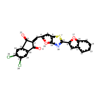 O=C1C(=Cc2cc3sc(-c4cc5ccccc5o4)nc3o2)C(=O)c2cc(Cl)c(Cl)cc21